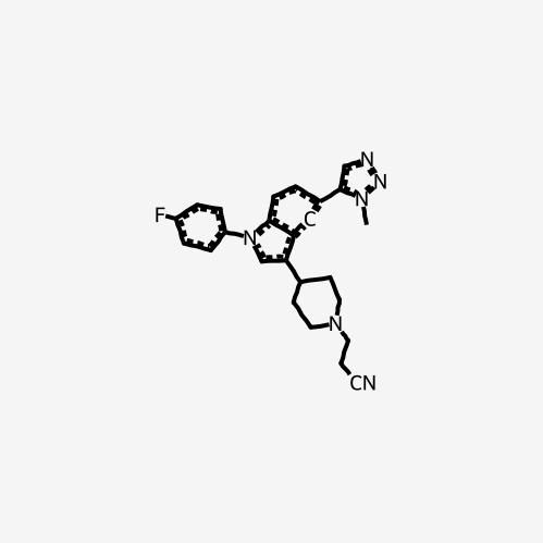 Cn1nncc1-c1ccc2c(c1)c(C1CCN(CCC#N)CC1)cn2-c1ccc(F)cc1